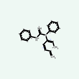 C=C/C=C\C(=C/C)N(C(=N)Nc1ccccc1)c1ccccc1